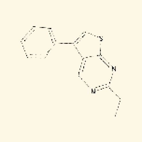 CCc1ncc2c(-c3ccccc3)csc2n1